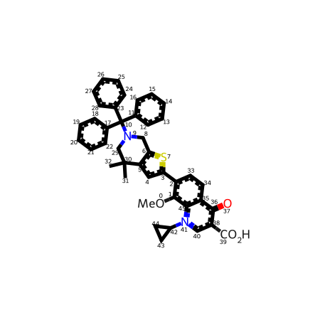 COc1c(-c2cc3c(s2)CN(C(c2ccccc2)(c2ccccc2)c2ccccc2)CC3(C)C)ccc2c(=O)c(C(=O)O)cn(C3CC3)c12